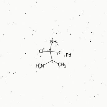 CC(N)C(N)(Cl)Cl.[Pd]